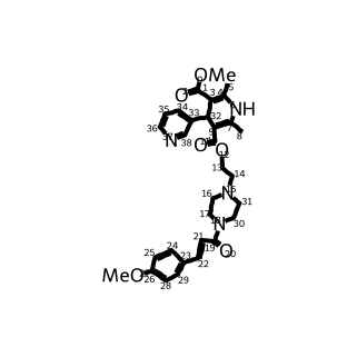 COC(=O)C1=C(C)NC(C)=C(C(=O)OCCN2CCN(C(=O)C=Cc3ccc(OC)cc3)CC2)C1c1cccnc1